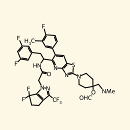 CNCC1(OC=O)CCN(c2nc3nc(C(Cc4cc(F)cc(F)c4)NC(=O)Cn4nc(C(F)(F)F)c5c4C(F)(F)CC5)c(-c4ccc(F)c(C)c4)cc3s2)CC1